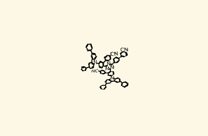 N#Cc1ccc(-c2cc(-n3c4ccc(-c5ccccc5)cc4c4cc(-c5ccccc5)ccc43)ccc2-c2nc(-c3ccc(-c4cccc(C#N)c4)cc3)nc(-c3ccc(-n4c5ccc(-c6ccccc6)cc5c5cc(-c6ccccc6)ccc54)cc3-c3ccc(C#N)cc3)n2)cc1